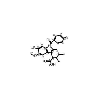 CCC(C)C(C(=O)O)c1c(C)n(C(=O)c2ccc(C)cc2)c2cc(F)c(OC)cc12